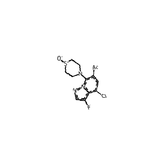 CC(=O)c1cc(Cl)c2c(F)cnn2c1N1CC[S+]([O-])CC1